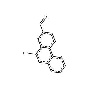 O=Cc1ccc2c(n1)c(O)cc1cccnc12